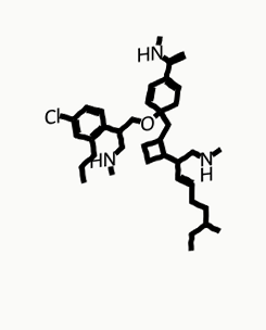 C=C(NC)C1=CCC(CC2CCC2C(/C=C/CCC(C)CC)CNC)(OCC(CNC)c2ccc(Cl)cc2CCC)C=C1